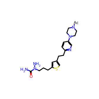 CC(=O)N1CCN(c2ccc(CCc3csc(CCCN(N)C(N)=O)c3)nc2)CC1